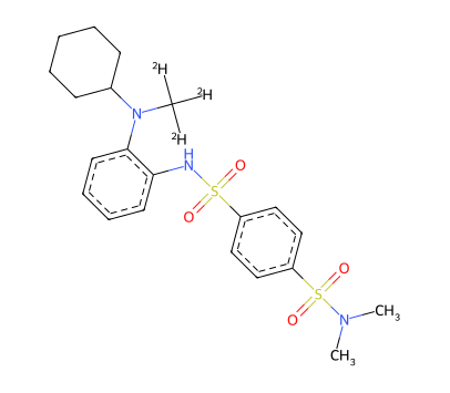 [2H]C([2H])([2H])N(c1ccccc1NS(=O)(=O)c1ccc(S(=O)(=O)N(C)C)cc1)C1CCCCC1